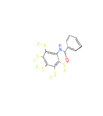 O=C(Nc1c(SF)c(SF)c(SF)c(SF)c1SF)c1ccccc1